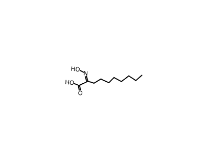 CCCCCCCCC(=NO)C(=O)O